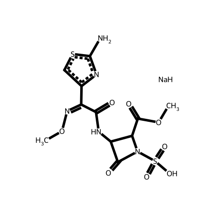 CO/N=C(\C(=O)NC1C(=O)N(S(=O)(=O)O)C1C(=O)OC)c1csc(N)n1.[NaH]